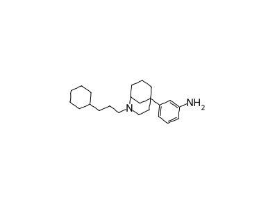 Nc1cccc(C23CCCC(C2)N(CCCC2CCCCC2)CC3)c1